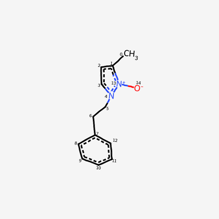 Cc1ccn(CCc2ccccc2)[n+]1[O-]